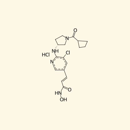 Cl.O=C(/C=C/c1cnc(N[C@@H]2CCN(C(=O)C3CCC3)C2)c(Cl)c1)NO